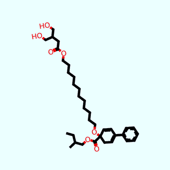 CCC(C)COC(=O)C1(OCCCCCCCCCCCCOC(=O)CC(CO)CO)C=CC(c2ccccc2)=CC1